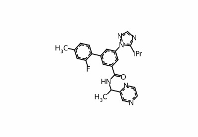 Cc1ccc(-c2cc(C(=O)NC(C)c3cnccn3)cc(-n3ncnc3C(C)C)c2)c(F)c1